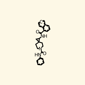 O=C(NC1CC12CCN(C(=O)Nc1ccccc1)CC2)c1cccc2ccccc12